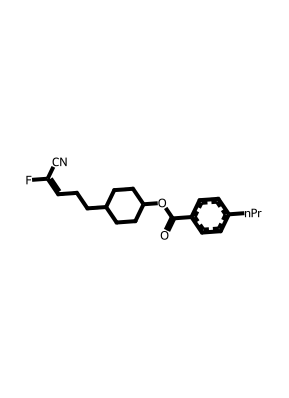 CCCc1ccc(C(=O)OC2CCC(CC/C=C(/F)C#N)CC2)cc1